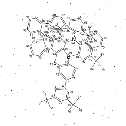 CC(C)(C)c1cc(-c2ccc3c(c2)Sc2cc(C4(c5ccccc5)c5ccccc5-c5ccccc54)cc4c2B3c2cc(C(C)(C)C)cc(C(C)(C)C)c2N4c2c(-c3ccccc3)cccc2-c2ccccc2)cc(C(C)(C)C)c1